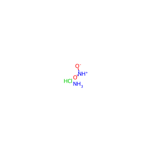 Cl.N.O=[NH+][O-]